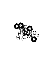 C[C@H](NP(=O)(Oc1c([N+](=O)[O-])cccc1C(F)(F)F)Oc1cccc2ccccc12)C(=O)OCc1ccccc1